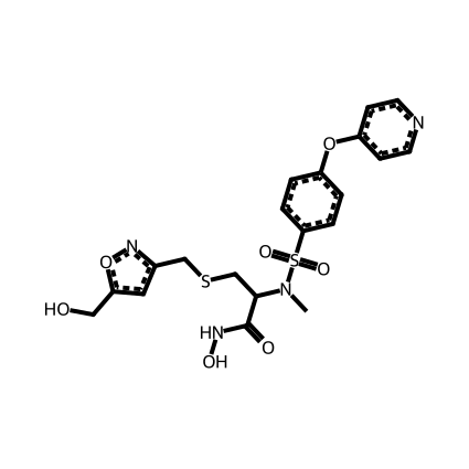 CN(C(CSCc1cc(CO)on1)C(=O)NO)S(=O)(=O)c1ccc(Oc2ccncc2)cc1